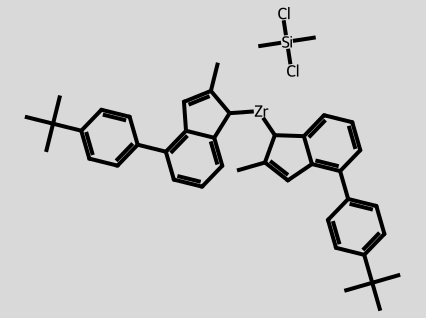 CC1=Cc2c(-c3ccc(C(C)(C)C)cc3)cccc2[CH]1[Zr][CH]1C(C)=Cc2c(-c3ccc(C(C)(C)C)cc3)cccc21.C[Si](C)(Cl)Cl